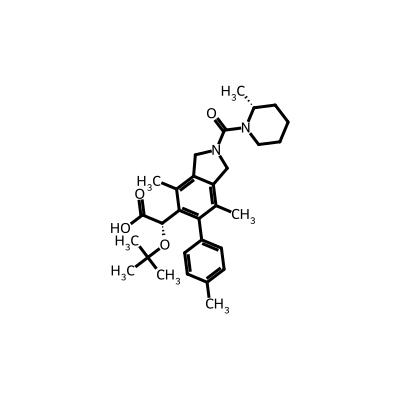 Cc1ccc(-c2c(C)c3c(c(C)c2[C@H](OC(C)(C)C)C(=O)O)CN(C(=O)N2CCCC[C@H]2C)C3)cc1